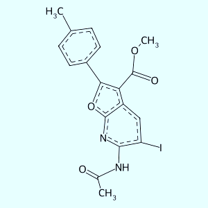 COC(=O)c1c(-c2ccc(C)cc2)oc2nc(NC(C)=O)c(I)cc12